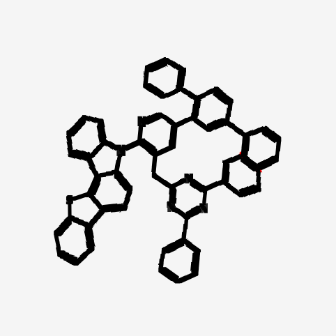 c1ccc(-c2ccc(-c3ccccc3)c(-c3cnc(-n4c5ccccc5c5c6sc7ccccc7c6ccc54)c(Cc4nc(-c5ccccc5)nc(-c5ccccc5)n4)c3)c2)cc1